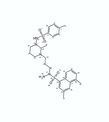 Cc1ccc(S(=O)(=O)NN2CCCN(CCCN(N)S(=O)(=O)c3cc(C)cc4c(C)cccc34)C2C)cc1